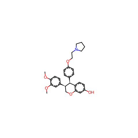 COc1ccc([C@@H]2COc3cc(O)ccc3[C@@H]2c2ccc(OCCN3CCCC3)cc2)cc1OC